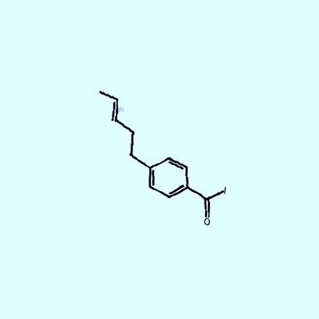 C/C=C/CCc1ccc(C(=O)I)cc1